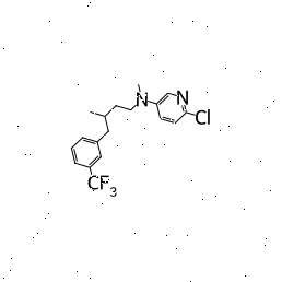 CC(CCN(C)c1ccc(Cl)nc1)Cc1cccc(C(F)(F)F)c1